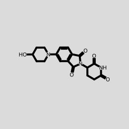 O=C1CCC(N2C(=O)c3ccc(N4CCC(O)CC4)cc3C2=O)C(=O)N1